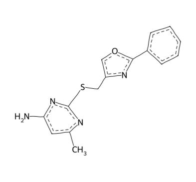 Cc1cc(N)nc(SCc2coc(-c3ccccc3)n2)n1